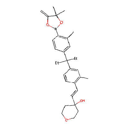 C=C1OB(c2ccc(C(CC)(CC)c3ccc(/C=C/C4(O)CCOCC4)c(C)c3)cc2C)OC1(C)C